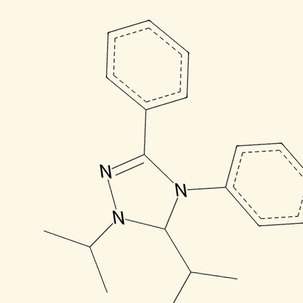 CC(C)C1N(c2ccccc2)C(c2ccccc2)=NN1C(C)C